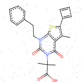 Cc1c(C2=CC=C2)sc2c1c(=O)n(C(C)(C)C(=O)O)c(=O)n2CCc1ccccc1